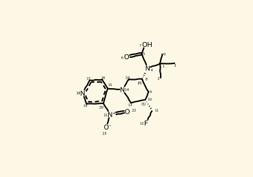 CC(C)(C)N(C(=O)O)[C@@H]1C[C@H](CF)CN(c2ccncc2[N+](=O)[O-])C1